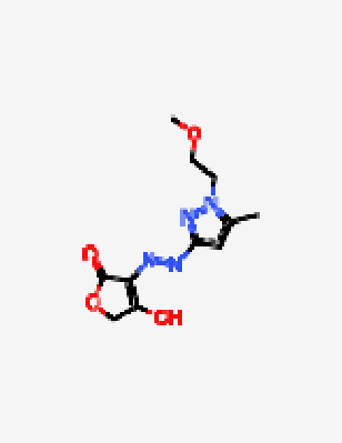 COCCn1nc(N=NC2=C(O)COC2=O)cc1C